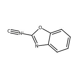 [C-]#[N+]c1nc2ccccc2o1